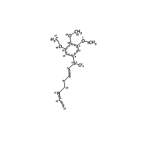 COc1cc([S+]([O-])/C=C/CCN=C=S)cc(OC)c1OC